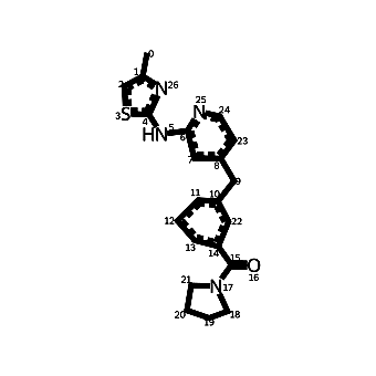 Cc1csc(Nc2cc(Cc3cccc(C(=O)N4CCCC4)c3)ccn2)n1